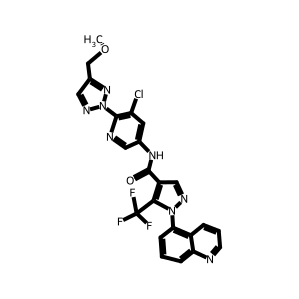 COCc1cnn(-c2ncc(NC(=O)c3cnn(-c4cccc5ncccc45)c3C(F)(F)F)cc2Cl)n1